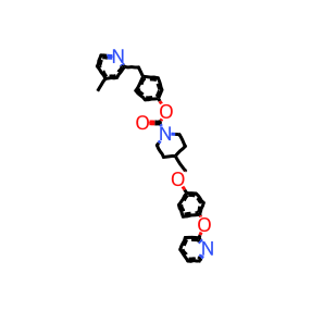 Cc1ccnc(Cc2ccc(OC(=O)N3CCC(COc4ccc(Oc5ccccn5)cc4)CC3)cc2)c1